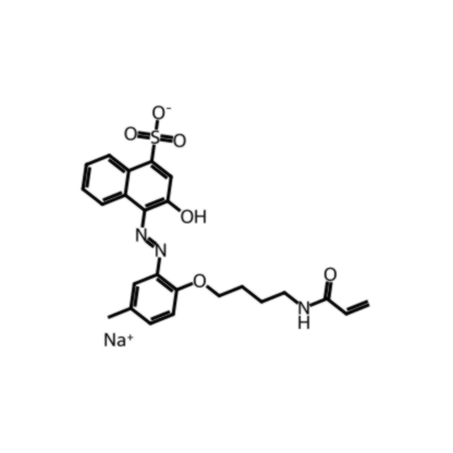 C=CC(=O)NCCCCOc1ccc(C)cc1N=Nc1c(O)cc(S(=O)(=O)[O-])c2ccccc12.[Na+]